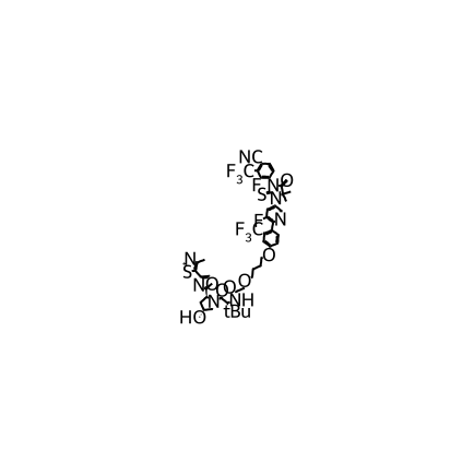 Cc1ncsc1-c1coc([C@@H]2C[C@@H](O)CN2C(=O)[C@@H](NC(=O)COCCCCOc2ccc(-c3ncc(N4C(=S)N(c5ccc(C#N)c(C(F)(F)F)c5F)C(=O)C4(C)C)cc3F)c(C(F)(F)F)c2)C(C)(C)C)n1